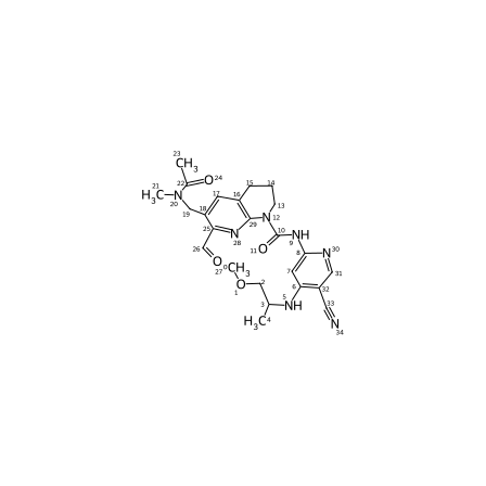 COCC(C)Nc1cc(NC(=O)N2CCCc3cc(CN(C)C(C)=O)c(C=O)nc32)ncc1C#N